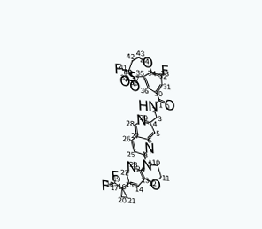 O=C(NCc1cc2nc(N3CCOc4cc(C5(C(F)F)CC5)cnc43)ccc2cn1)c1cc(F)c2c(c1)S(=O)(=O)[C@@H](F)CCO2